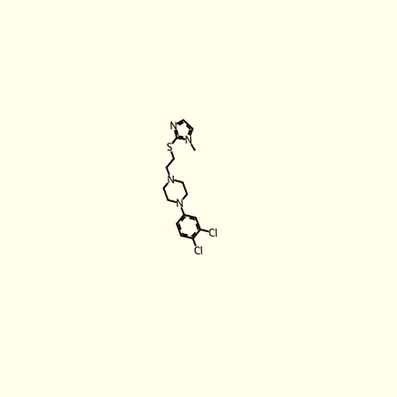 Cn1ccnc1SCCN1CCN(c2ccc(Cl)c(Cl)c2)CC1